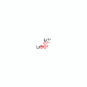 [Lr+3].[Lr+3].[O-2].[O-2].[O-2]